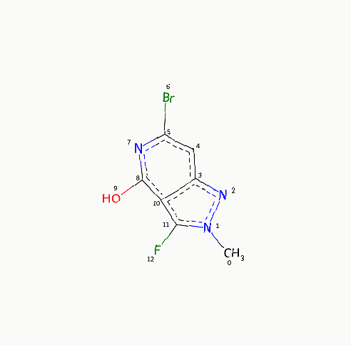 Cn1nc2cc(Br)nc(O)c2c1F